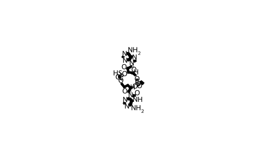 C=C[P@]1(=O)OC[C@H]2O[C@@H](n3cnc4c(N)ncnc43)C(=O)C2O[P@@](=O)(S)OCC2C[C@@H](O1)[C@H](n1c(=O)[nH]c3c(N)ncnc31)O2